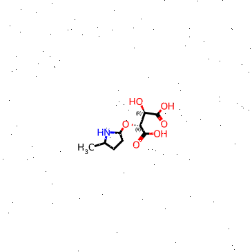 CC1CCC(O[C@@H](C(=O)O)[C@@H](O)C(=O)O)N1